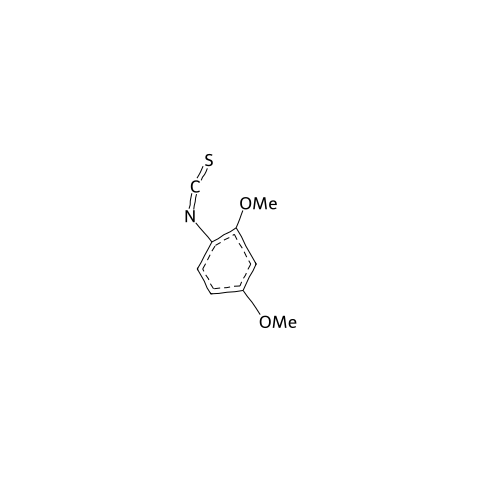 COc1ccc(N=C=S)c(OC)c1